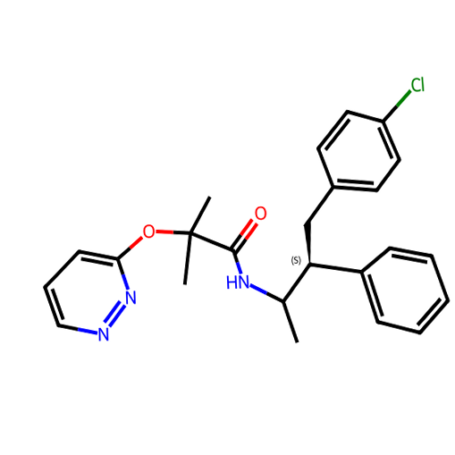 CC(NC(=O)C(C)(C)Oc1cccnn1)[C@@H](Cc1ccc(Cl)cc1)c1ccccc1